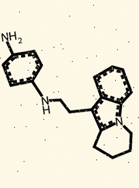 Nc1ccc(NCCc2c3n(c4ccccc24)CCCC3)cc1